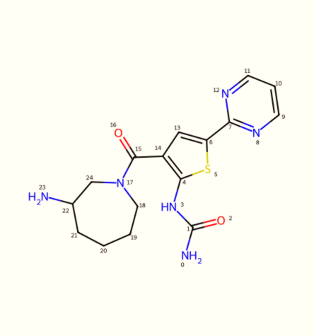 NC(=O)Nc1sc(-c2ncccn2)cc1C(=O)N1CCCCC(N)C1